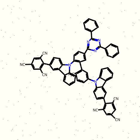 N#Cc1cc(C#N)c(-c2ccc3c(c2)c2ccccc2n3-c2ccc(C(F)(F)F)c(-c3cc(-c4nc(-c5ccccc5)nc(-c5ccccc5)n4)ccc3-n3c4ccccc4c4cc(-c5c(C#N)cc(C#N)cc5C#N)ccc43)c2)c(C#N)c1